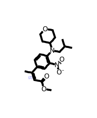 COC(=O)/C=C(/C)c1ccc(N(CC(C)C)C2CCOCC2)c([N+](=O)[O-])c1